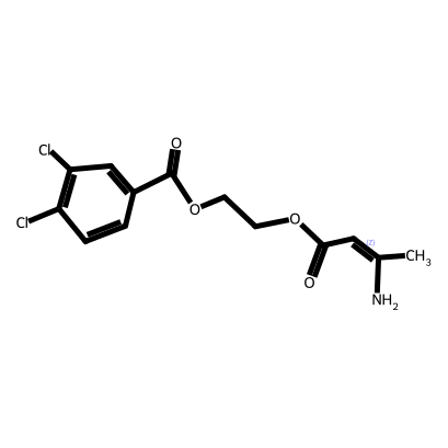 C/C(N)=C/C(=O)OCCOC(=O)c1ccc(Cl)c(Cl)c1